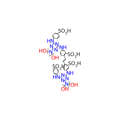 CC(C)(O)N(c1nc(Nc2ccc(S(=O)(=O)O)cc2)nc(Nc2ccc(C=Cc3ccc(Nc4nc(Nc5ccc(S(=O)(=O)O)cc5)nc(N(C(C)(C)O)C(C)(C)O)n4)cc3S(=O)(=O)O)c(S(=O)(=O)O)c2)n1)C(C)(C)O